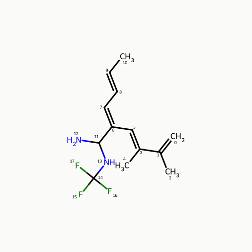 C=C(C)/C(C)=C/C(=C\C=CC)C(N)NC(F)(F)F